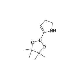 CC1(C)OB(C2=CCCN2)OC1(C)C